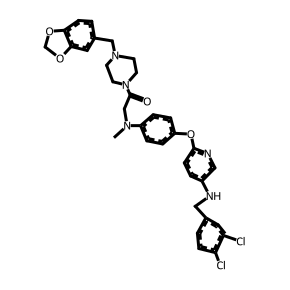 CN(CC(=O)N1CCN(Cc2ccc3c(c2)OCO3)CC1)c1ccc(Oc2ccc(NCc3ccc(Cl)c(Cl)c3)cn2)cc1